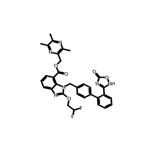 Cc1nc(C)c(COC(=O)c2cccc3nc(OCC(F)F)n(Cc4ccc(-c5ccccc5-c5nc(=O)o[nH]5)cc4)c23)nc1C